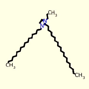 CCCCCCCCCCCCCCCCCCCc1n(CCC)cc[n+]1CCCCCCCCCCCCCCCCC